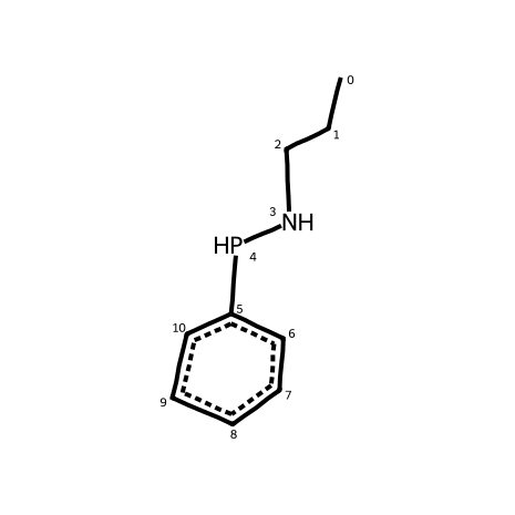 CCCNPc1ccccc1